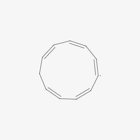 [C]1=CC=CC=CCC=CC=C1